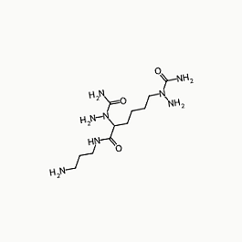 NCCCNC(=O)C(CCCCN(N)C(N)=O)N(N)C(N)=O